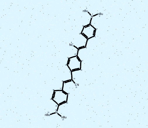 CCCCN(CCCC)c1ccc(/C=C(\C#N)c2ccc(/C(C#N)=C/c3ccc(N(CCCC)CCCC)cc3)cc2)cc1